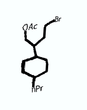 CCCC1CCC(C(CCBr)COC(C)=O)CC1